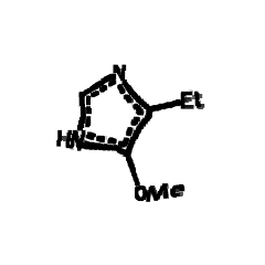 CCc1nc[nH]c1OC